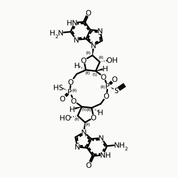 C#S[P@]1(=O)OC[C@H]2O[C@@H](n3cnc4c(=O)[nH]c(N)nc43)[C@H](O)[C@@H]2O[P@](=O)(S)OC[C@H]2O[C@@H](n3cnc4c(=O)[nH]c(N)nc43)[C@H](O)[C@@H]2O1